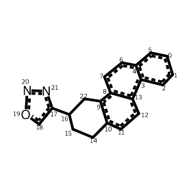 c1ccc2c(c1)ccc1c3c(ccc12)CCC(c1conn1)C3